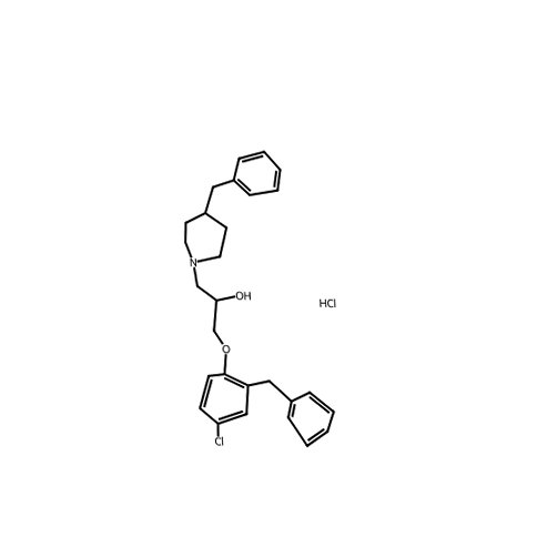 Cl.OC(COc1ccc(Cl)cc1Cc1ccccc1)CN1CCC(Cc2ccccc2)CC1